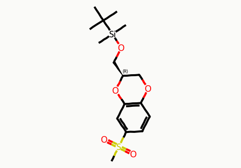 CC(C)(C)[Si](C)(C)OC[C@H]1COc2ccc(S(C)(=O)=O)cc2O1